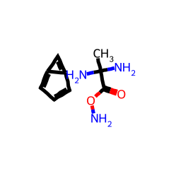 CC(N)(N)C(=O)ON.c1cc2cc-2c1